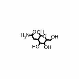 NC(=O)CC1C(O)OC(CO)C(O)C1O